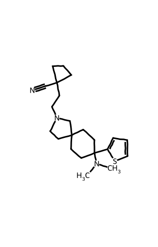 CN(C)C1(c2cccs2)CCC2(CCN(CCC3(C#N)CCC3)C2)CC1